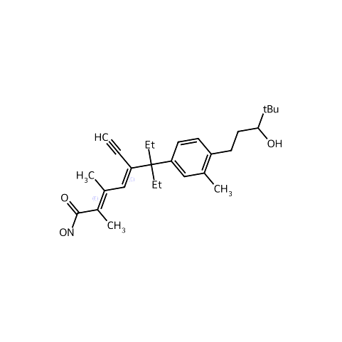 C#C/C(=C\C(C)=C(/C)C(=O)N=O)C(CC)(CC)c1ccc(CCC(O)C(C)(C)C)c(C)c1